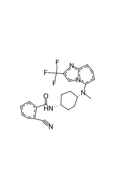 CN(c1cccc2nc(C(F)(F)F)cn12)[C@H]1CC[C@@H](NC(=O)c2ccccc2C#N)CC1